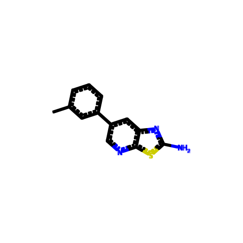 Cc1cccc(-c2cnc3sc(N)nc3c2)c1